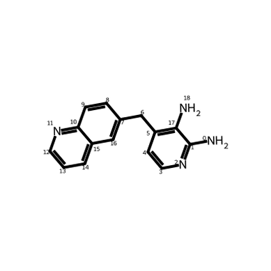 Nc1nccc(Cc2ccc3ncccc3c2)c1N